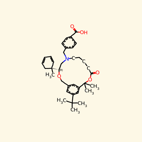 CC(C)(C)c1cc2cc(c1)C(C)(C)OC(=O)CCCCN(Cc1ccc(C(=O)O)cc1)C[C@@H](C1(C)C=CC=CC1)OC2